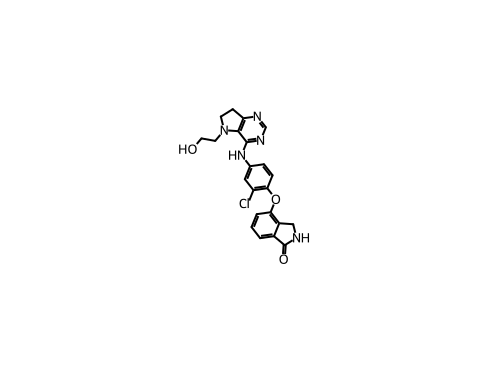 O=C1NCc2c(Oc3ccc(Nc4ncnc5c4N(CCO)CC5)cc3Cl)cccc21